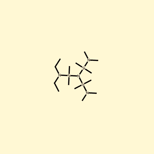 CCN(CC)[Si](C)(C)N([Si](C)(C)N(C)C)[Si](C)(C)N(C)C